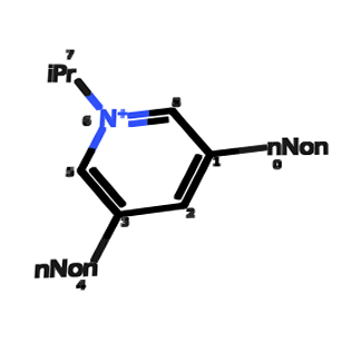 CCCCCCCCCc1cc(CCCCCCCCC)c[n+](C(C)C)c1